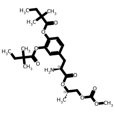 CCC(C)(C)C(=O)Oc1ccc(C[C@H](N)C(=O)O[C@@H](C)COC(=O)OC)cc1OC(=O)C(C)(C)CC